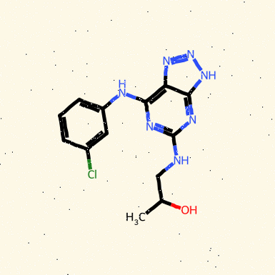 CC(O)CNc1nc(Nc2cccc(Cl)c2)c2nn[nH]c2n1